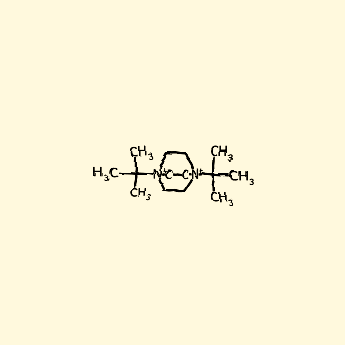 CC(C)(C)[N+]12CC[N+](C(C)(C)C)(CC1)CC2